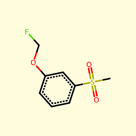 CS(=O)(=O)c1cccc(OCF)c1